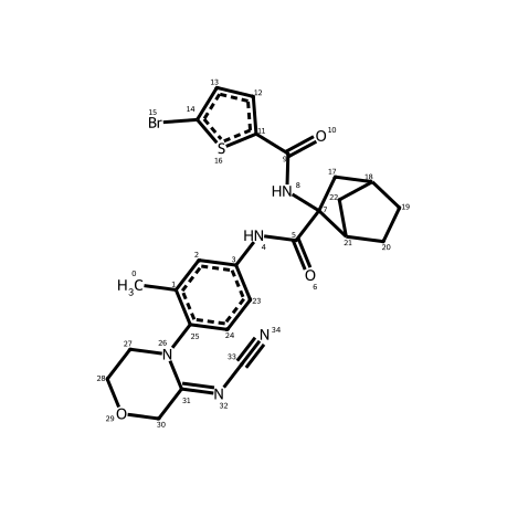 Cc1cc(NC(=O)C2(NC(=O)c3ccc(Br)s3)CC3CCC2C3)ccc1N1CCOC/C1=N/C#N